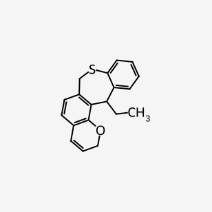 CCC1c2ccccc2SCc2ccc3c(c21)OCC=C3